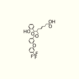 O=C(O)CCC=CCC1COC(c2cccc(Oc3cccc(C(F)(F)F)c3)c2)OC1c1ccccc1O